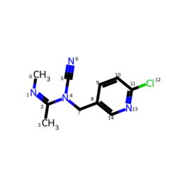 C/N=C(/C)N(C#N)Cc1ccc(Cl)nc1